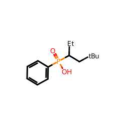 CCC(CC(C)(C)C)P(=O)(O)c1ccccc1